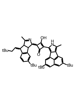 CC1=N/C(=C2/C(=O)C(c3[nH]c(C)c4c3-c3cc(C(C)(C)C)cc5cc(C(C)(C)C)cc-4c35)=C2O)C2c3cc(C(C)(C)C)ccc3/C(=C\CC(C)(C)C)C12